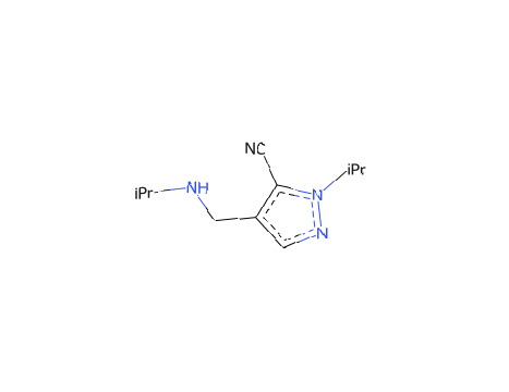 CC(C)NCc1cnn(C(C)C)c1C#N